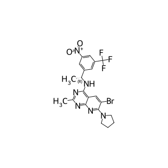 Cc1nc(N[C@H](C)c2cc([N+](=O)[O-])cc(C(F)(F)F)c2)c2cc(Br)c(N3CCCC3)nc2n1